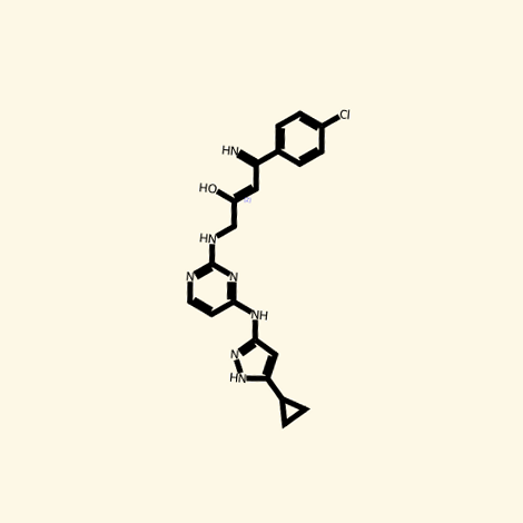 N=C(/C=C(\O)CNc1nccc(Nc2cc(C3CC3)[nH]n2)n1)c1ccc(Cl)cc1